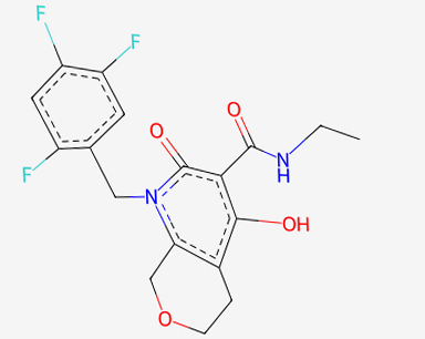 CCNC(=O)c1c(O)c2c(n(Cc3cc(F)c(F)cc3F)c1=O)COCC2